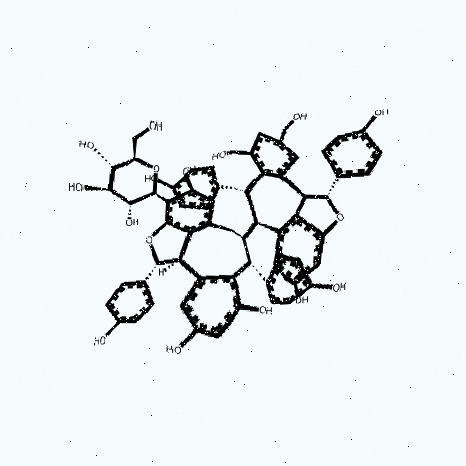 OC[C@H]1O[C@@H](c2c(O)cc3c4c2O[C@@H](c2ccc(O)cc2)[C@@H]4c2cc(O)cc(O)c2[C@@H](c2ccc(O)cc2)[C@@H]3[C@@H]2c3cc(O)cc4c3[C@@H](c3cc(O)cc(O)c3[C@H]2c2ccc(O)cc2)[C@H](c2ccc(O)cc2)O4)[C@H](O)[C@@H](O)[C@@H]1O